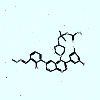 CON=Cc1cccc(-c2ccc3ncc(-c4cc(F)cc(F)c4)c(N4CCC(CC(C)(C)OC(N)=O)CC4)c3c2)c1O